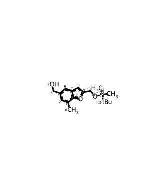 Cc1cc(CO)cc2cc(CO[Si](C)(C)C(C)(C)C)oc12